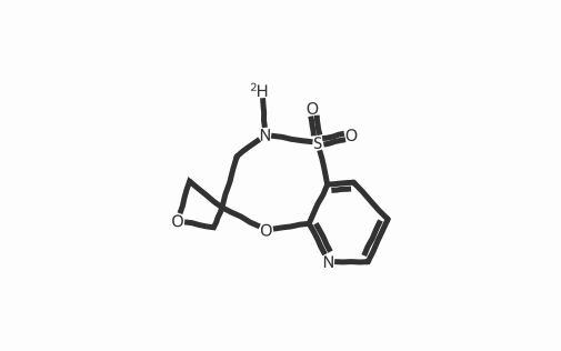 [2H]N1CC2(COC2)Oc2ncccc2S1(=O)=O